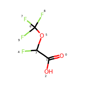 O=C(O)C(F)OC(F)(F)F